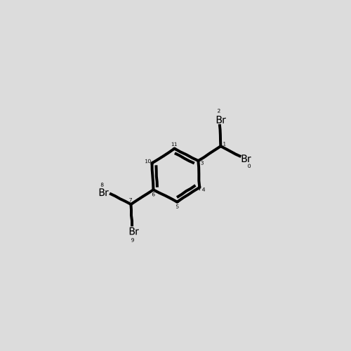 BrC(Br)c1[c]cc(C(Br)Br)cc1